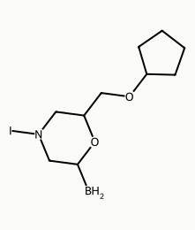 BC1CN(I)CC(COC2CCCC2)O1